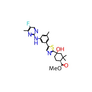 COC(=O)[C@H]1CC[C@](O)(c2ncc(-c3cc(C)cc(Nc4ncc(F)c(C)n4)c3)s2)CC1(C)C